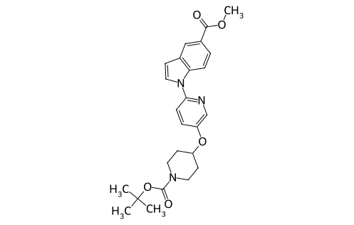 COC(=O)c1ccc2c(ccn2-c2ccc(OC3CCN(C(=O)OC(C)(C)C)CC3)cn2)c1